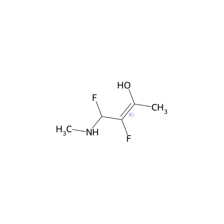 CNC(F)/C(F)=C(/C)O